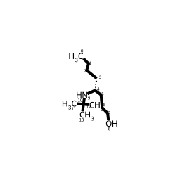 CCCC[C@H](CCCO)NC(C)(C)C